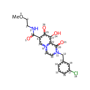 COCCNC(=O)c1cn2ccn(Cc3cccc(Cl)c3)c(=O)c2c(O)c1=O